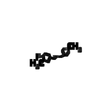 Cc1ccc(C[CH]Cc2ccc(F)c(C)c2)cc1